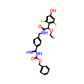 CCOC(C(=O)NCc1ccc(C(=N)NC(=O)OCc2ccccc2)cc1)c1c(F)cc(O)cc1F